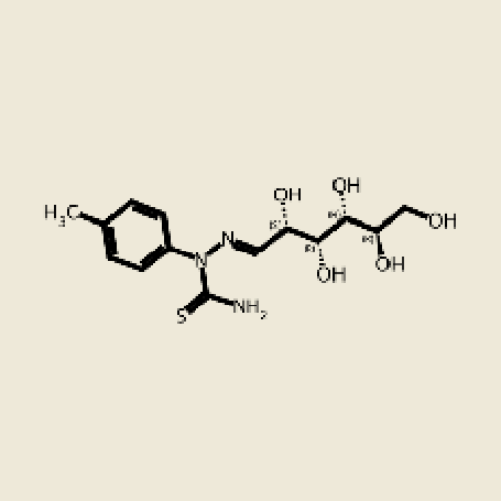 Cc1ccc(N(N=C[C@H](O)[C@@H](O)[C@H](O)[C@H](O)CO)C(N)=S)cc1